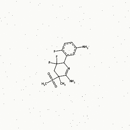 CC1(S(C)(=O)=O)CC(F)(F)C(c2cc(N)ccc2F)N=C1N